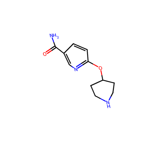 NC(=O)c1ccc(OC2CCNCC2)nc1